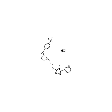 Cl.Cl.Cn1c(SCCCN2CC[C@@]3(C[C@H]3c3ccc(C(F)(F)F)cc3)C2)nnc1-c1cccnc1